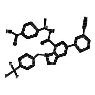 C[C@@H](NC(=O)c1cc(-c2cccc(C#N)c2)cc2ccn(Cc3ccc(C(F)(F)F)cc3)c12)c1ccc(C(=O)O)cc1